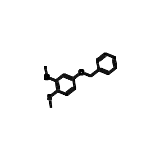 COc1cc(OCc2ccccc2)ccc1SC